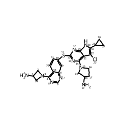 NC1CN(c2ncnc3cc(Sc4nc(N5CCC(N)C5)c5c(Cl)c(C6CC6)[nH]c5n4)ccc23)C1